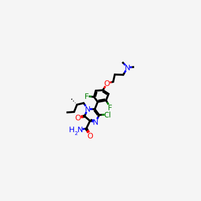 CC[C@H](C)Cn1c(-c2c(F)cc(OCCCN(C)C)cc2F)c(Cl)nc(C(N)=O)c1=O